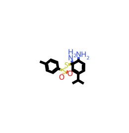 Cc1ccc(S(=O)(=O)SC2(N)C=C(C(C)C)C=CC2N)cc1